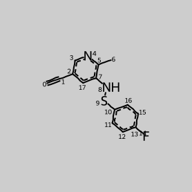 C#Cc1cnc(C)c(NSc2ccc(F)cc2)c1